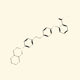 O=C(O)c1ccccc1Nc1ccc(CCc2ccc(N3CCC4CCCCC4C3)cc2)cc1